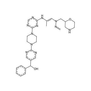 C=NN(/C=C(\C)Nc1ncnc(N2CCN(c3ncc(C(O)c4ccccc4)cn3)CC2)n1)CC1CNCCO1